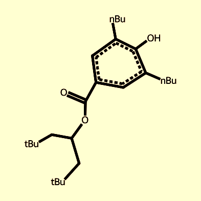 CCCCc1cc(C(=O)OC(CC(C)(C)C)CC(C)(C)C)cc(CCCC)c1O